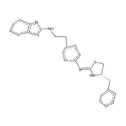 c1ccc(C[C@H]2CS/C(=N\c3ccc(CCNc4nc5ccccc5s4)cc3)N2)cc1